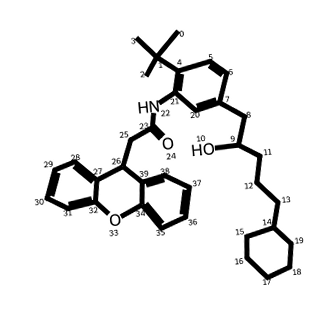 CC(C)(C)c1ccc(CC(O)CCCC2CCCCC2)cc1NC(=O)CC1c2ccccc2Oc2ccccc21